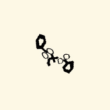 CCC(OC(=O)c1ccccc1)C(C)(C)COC(=O)c1ccccc1